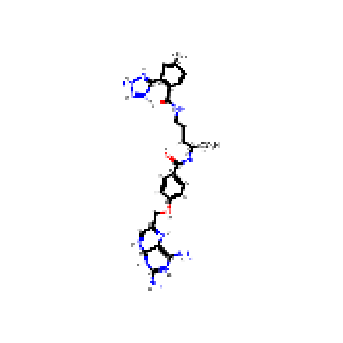 CC(C)(C)c1ccc(C(=O)NCCC[C@H](NC(=O)c2ccc(OCc3cnc4nc(N)nc(N)c4n3)cc2)C(=O)O)c(-c2nn[nH]n2)c1